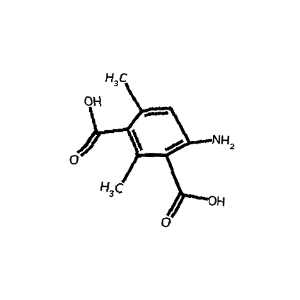 Cc1cc(N)c(C(=O)O)c(C)c1C(=O)O